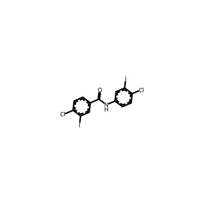 O=C(Nc1ccc(Cl)c(I)c1)c1ccc(Cl)c(I)c1